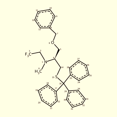 CN(CC(F)(F)F)[C@@H](COCc1ccccc1)CSC(c1ccccc1)(c1ccccc1)c1ccccc1